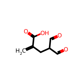 C=C(CC(C=O)C=O)C(=O)O